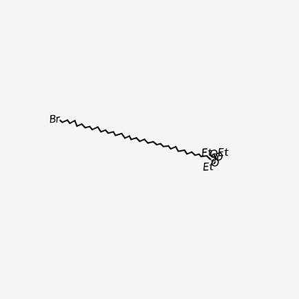 CCO[Si](CCCCCCCCCCCCCCCCCCCCCCCCCCCCCCCCCCCCCCCBr)(OCC)OCC